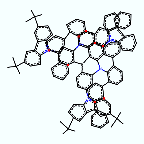 CC(C)(C)c1ccc2c(c1)c1cc(C(C)(C)C)ccc1n2-c1ccc2c(c1)N(c1c(-c3cccc(-c4ccccc4)c3)cccc1-c1cccc(-c3ccccc3)c1)c1cc(-n3c4ccccc4c4ccccc43)cc3c1B2c1ccc(-n2c4ccc(C(C)(C)C)cc4c4cc(C(C)(C)C)ccc42)cc1N3c1c(-c2cccc(-c3ccccc3)c2)cccc1-c1cccc(-c2ccccc2)c1